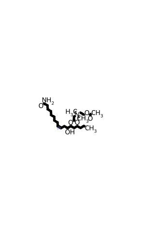 CCCCCC(OC(=O)C[N+](C)(C)CCOC(C)=O)C(O)C/C=C\CCCCCCCC(N)=O